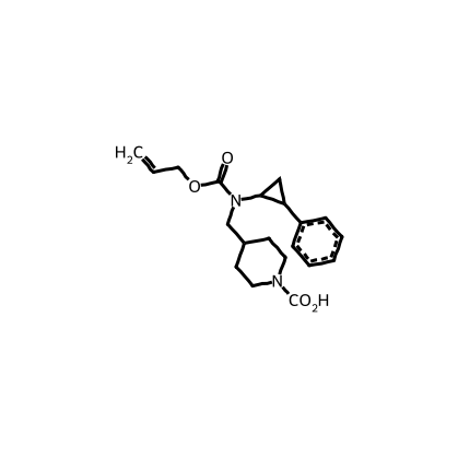 C=CCOC(=O)N(CC1CCN(C(=O)O)CC1)C1CC1c1ccccc1